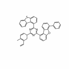 C=CC1=C(C)C=CC(c2nc(-c3cccc4oc5c(-c6ccccc6)cccc5c34)nc(-c3cccc4sc5ccccc5c34)n2)C1